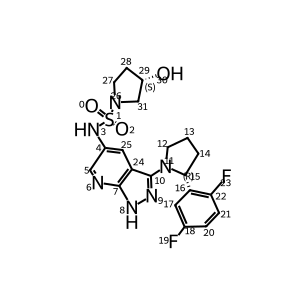 O=S(=O)(Nc1cnc2[nH]nc(N3CCC[C@@H]3c3cc(F)ccc3F)c2c1)N1CC[C@H](O)C1